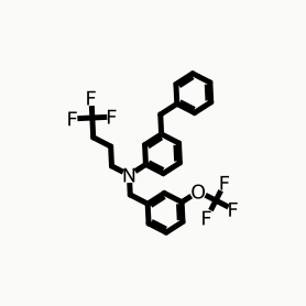 FC(F)(F)CCCN(Cc1cccc(OC(F)(F)F)c1)c1cccc(Cc2ccccc2)c1